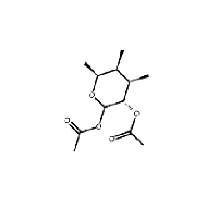 CC(=O)OC1O[C@@H](C)[C@@H](C)[C@@H](C)[C@@H]1OC(C)=O